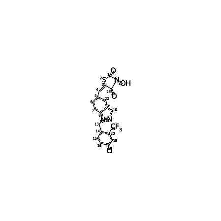 O=C1SC(=Cc2ccc3c(cnn3Cc3ccc(Cl)cc3C(F)(F)F)c2)C(=O)N1O